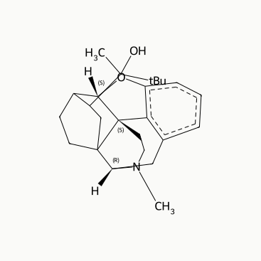 CN1CC[C@]23c4c5cccc4O[C@H]2C2CCC3(CC2C(C)(O)C(C)(C)C)[C@H]1C5